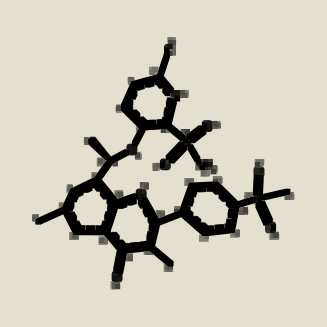 Cc1cc([C@@H](C)Oc2ccc(Cl)nc2S(N)(=O)=O)c2oc(-c3ccc(S(C)(=O)=O)cc3)c(C)c(=O)c2c1